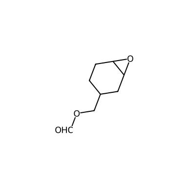 O=COCC1CCC2OC2C1